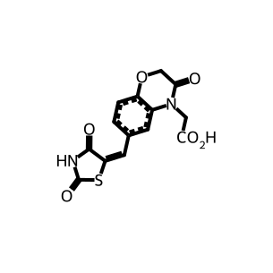 O=C(O)CN1C(=O)COc2ccc(C=C3SC(=O)NC3=O)cc21